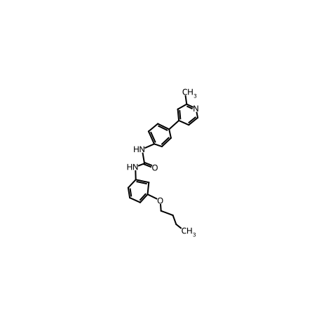 CCCCOc1cccc(NC(=O)Nc2ccc(-c3ccnc(C)c3)cc2)c1